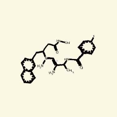 CC(NC(=O)c1ccc(F)cc1)/C(N)=C/N(N)C(CC(=O)NO)Cc1ccc2ccccc2c1